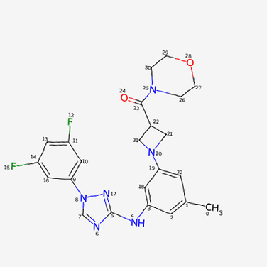 Cc1cc(Nc2ncn(-c3cc(F)cc(F)c3)n2)cc(N2CC(C(=O)N3CCOCC3)C2)c1